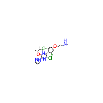 CC[C@H](C)Cn1c(-c2c(F)cc(OCCCNC)cc2Cl)c(Cl)nc(-n2cccn2)c1=O